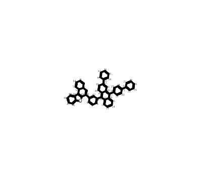 C1=CC2C=C(c3cccc(-c4c5ccccc5c(-c5ccc(-c6ccccc6)cc5)c5cc(-c6ccccc6)ccc45)c3)c3oc4ccccc4c3C2C=C1